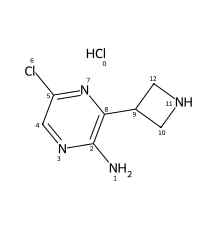 Cl.Nc1ncc(Cl)nc1C1CNC1